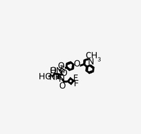 Cc1cc(COc2ccc(S(=O)(=O)NC3(C(=O)NO)CN(C(=O)C4CC(F)(F)C4)C3)cc2)c2ccccc2n1